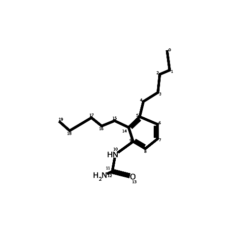 CCCCCc1cccc(NC(N)=O)c1CCCCC